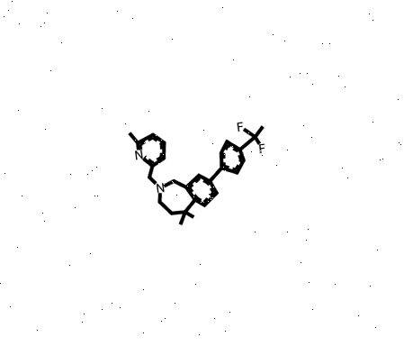 Cc1cccc(CN2CCC(C)(C)c3ccc(-c4ccc(C(C)(F)F)cc4)cc3C2)n1